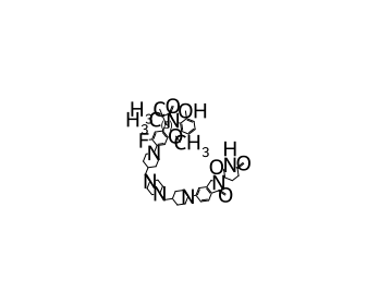 COc1cc(N2CCC(CN3CCN(CC4CCN(c5ccc6c(c5)CN(C5CCC(=O)NC5=O)C6=O)CC4)CC3)CC2)c(F)cc1[C@@H]1N(c2ccccc2O)C(=O)C1(C)C